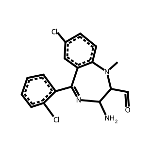 CN1c2ccc(Cl)cc2C(c2ccccc2Cl)=NC(N)C1C=O